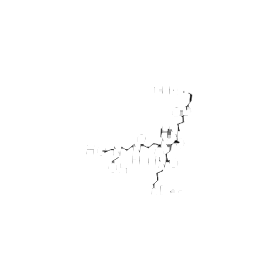 CCCCCC/C=C\COC(=O)CCCNC(=O)C(CCC(=O)NCCCCCCCCCCCCCC)NC(=O)CCC(=O)NCCCN(CCO)CCO